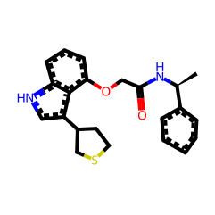 C[C@H](NC(=O)COc1cccc2[nH]cc(C3CCSC3)c12)c1ccccc1